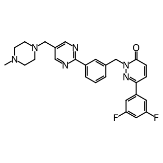 CN1CCN(Cc2cnc(-c3cccc(Cn4nc(-c5cc(F)cc(F)c5)ccc4=O)c3)nc2)CC1